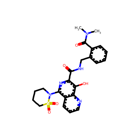 CN(C)C(=O)c1ccccc1CNC(=O)c1nc(N2CCCCS2(=O)=O)c2cccnc2c1O